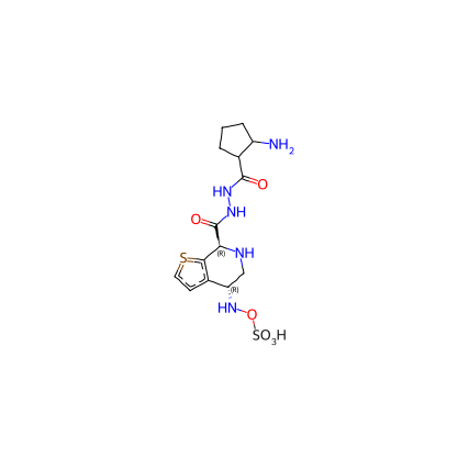 NC1CCCC1C(=O)NNC(=O)[C@H]1NC[C@H](NOS(=O)(=O)O)c2ccsc21